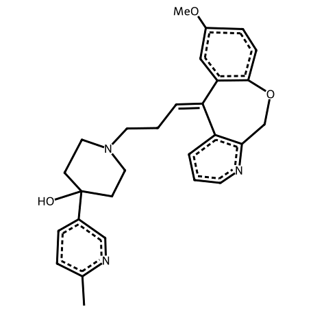 COc1ccc2c(c1)/C(=C/CCN1CCC(O)(c3ccc(C)nc3)CC1)c1cccnc1CO2